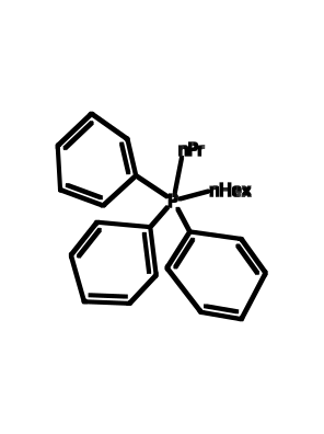 CCCCCCP(CCC)(c1ccccc1)(c1ccccc1)c1ccccc1